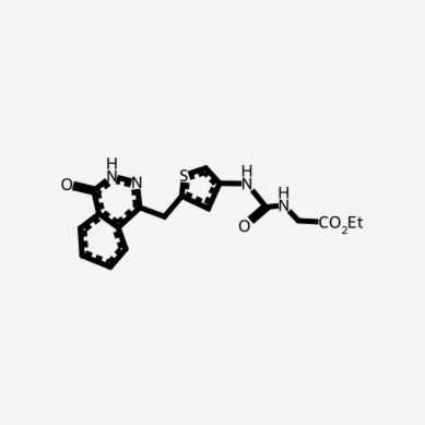 CCOC(=O)CNC(=O)Nc1csc(Cc2n[nH]c(=O)c3ccccc23)c1